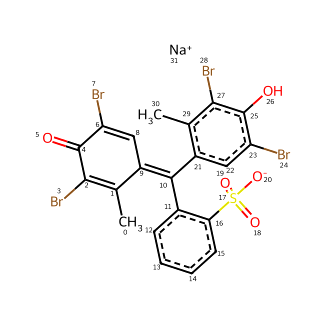 CC1=C(Br)C(=O)C(Br)=C/C1=C(/c1ccccc1S(=O)(=O)[O-])c1cc(Br)c(O)c(Br)c1C.[Na+]